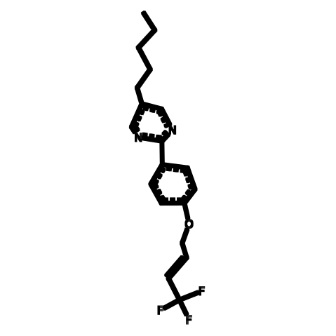 CCCCCc1cnc(-c2ccc(OC/C=C/C(F)(F)F)cc2)nc1